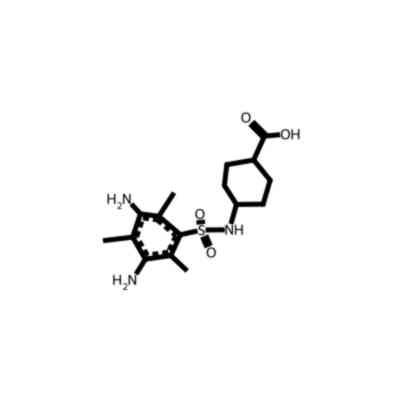 Cc1c(N)c(C)c(S(=O)(=O)NC2CCC(C(=O)O)CC2)c(C)c1N